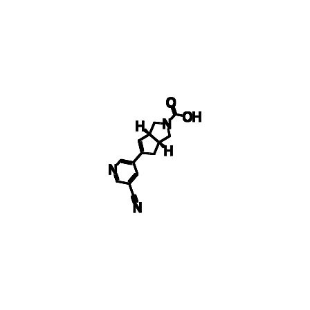 N#Cc1cncc(C2=C[C@@H]3CN(C(=O)O)C[C@@H]3C2)c1